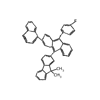 CC1(C)c2ccccc2-c2ccc(-c3c4ccccc4c(-c4ccc(F)cc4)c4ccc(-c5cccc6ccccc56)cc34)cc21